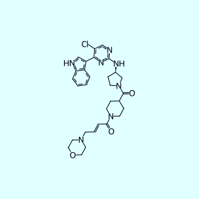 O=C(/C=C/CN1CCOCC1)N1CCC(C(=O)N2CC[C@@H](Nc3ncc(Cl)c(-c4c[nH]c5ccccc45)n3)C2)CC1